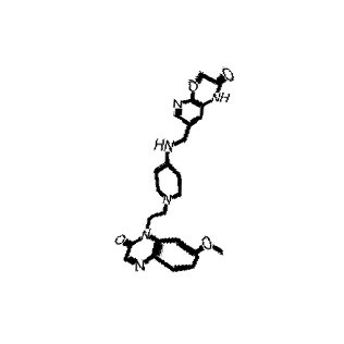 COc1ccc2ncc(=O)n(CCN3CCC(NCc4cnc5c(c4)NC(=O)CO5)CC3)c2c1